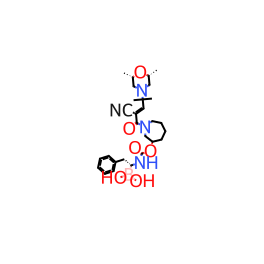 C[C@@H]1CN(C(C)(C)C=C(C#N)C(=O)N2CCCC[C@@H](OC(=O)N[C@@H](Cc3ccccc3)B(O)O)C2)C[C@H](C)O1